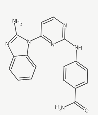 NC(=O)c1ccc(Nc2nccc(-n3c(N)nc4ccccc43)n2)cc1